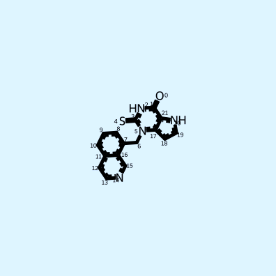 O=c1[nH]c(=S)n(Cc2cccc3ccncc23)c2cc[nH]c12